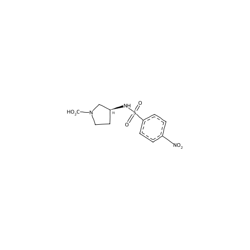 O=C(O)N1CC[C@H](NS(=O)(=O)c2ccc([N+](=O)[O-])cc2)C1